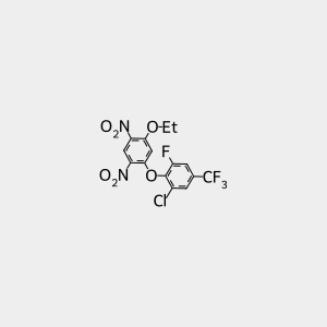 CCOc1cc(Oc2c(F)cc(C(F)(F)F)cc2Cl)c([N+](=O)[O-])cc1[N+](=O)[O-]